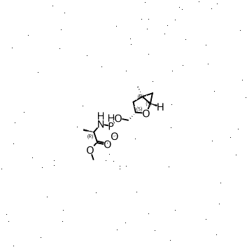 COC(=O)[C@@H](C)N[PH](=O)OC[C@@H]1C[C@@]2(C)C[C@@H]2O1